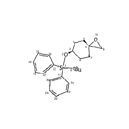 CC(C)(C)[Si](O[C@H]1CC[C@]2(CC1)CO2)(c1ccccc1)c1ccccc1